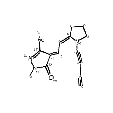 C#CC#CN1CCC/C1=C/C=C1/C(=O)N(C)N=C1C(C)=O